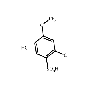 Cl.O=S(=O)(O)c1ccc(OC(F)(F)F)cc1Cl